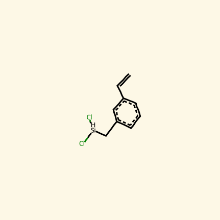 C=Cc1cccc(C[SiH](Cl)Cl)c1